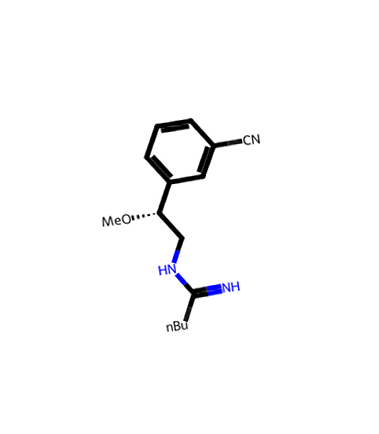 CCCCC(=N)NC[C@H](OC)c1cccc(C#N)c1